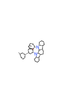 Cc1cccc(-c2cccc(-n3c4ccccc4c4ccc5c6ccccc6n(-c6ccccc6)c5c43)c2)c1